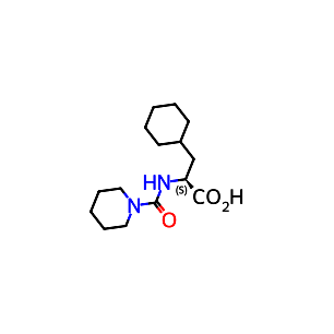 O=C(O)[C@H](CC1CCCCC1)NC(=O)N1CCCCC1